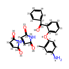 Cc1cc(N)ccc1Oc1ccccc1C(=O)c1ccccc1.O=C1C=CC(=O)N1.O=C1C=CC(=O)N1